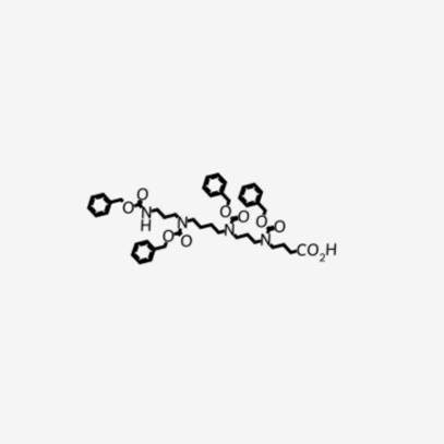 O=C(O)CCCN(CCCN(CCCCN(CCCNC(=O)OCc1ccccc1)C(=O)OCc1ccccc1)C(=O)OCc1ccccc1)C(=O)OCc1ccccc1